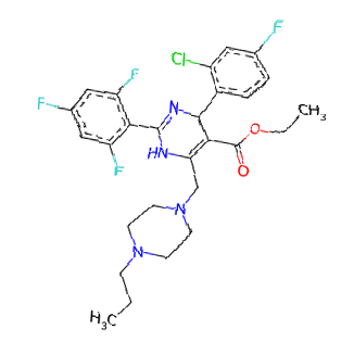 CCCN1CCN(CC2=C(C(=O)OCC)C(c3ccc(F)cc3Cl)N=C(c3c(F)cc(F)cc3F)N2)CC1